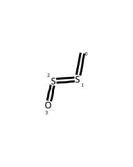 C=S=S=O